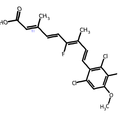 COc1cc(Cl)c(C=CC(C)=C(F)C=C/C(C)=C/C(=O)O)c(Cl)c1Cl